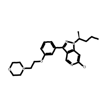 CCC[C@H](C)n1nc(-c2cccc(OCCN3CCOCC3)c2)c2cnc(Cl)cc21